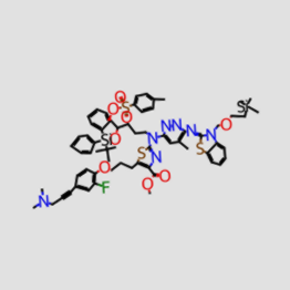 COC(=O)c1nc(N(CCCC(COS(=O)(=O)c2ccc(C)cc2)O[Si](c2ccccc2)(c2ccccc2)C(C)(C)C)c2cc(C)c(/N=c3\sc4ccccc4n3COCC[Si](C)(C)C)nn2)sc1CCCOc1ccc(C#CCN(C)C)cc1F